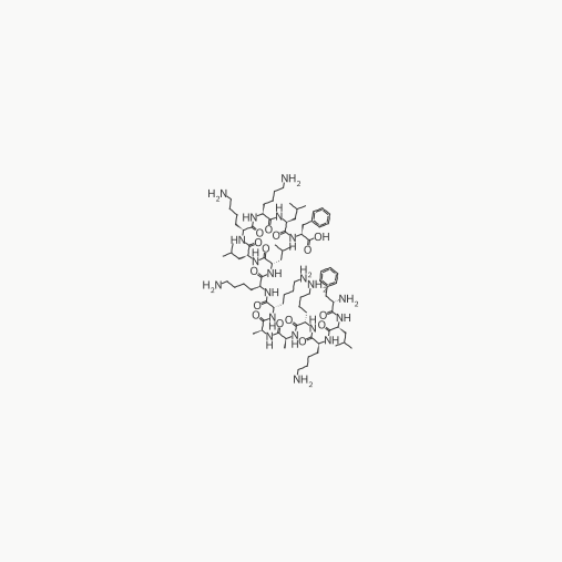 CC(C)C[C@H](NC(=O)[C@H](CCCCN)NC(=O)[C@H](CCCCN)NC(=O)[C@H](CC(C)C)NC(=O)[C@H](CC(C)C)NC(=O)[C@H](CCCCN)NC(=O)[C@H](CCCCN)NC(=O)[C@H](C)NC(=O)[C@H](C)NC(=O)[C@H](CCCCN)NC(=O)[C@H](CCCCN)NC(=O)[C@H](CC(C)C)NC(=O)[C@@H](N)Cc1ccccc1)C(=O)N[C@@H](Cc1ccccc1)C(=O)O